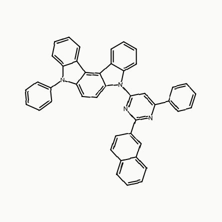 c1ccc(-c2cc(-n3c4ccccc4c4c5c6ccccc6n(-c6ccccc6)c5ccc43)nc(-c3ccc4ccccc4c3)n2)cc1